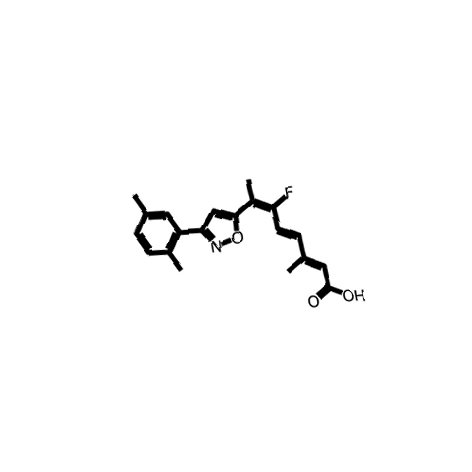 CC(/C=C/C(F)=C(/C)c1cc(-c2cc(C)ccc2C)no1)=C\C(=O)O